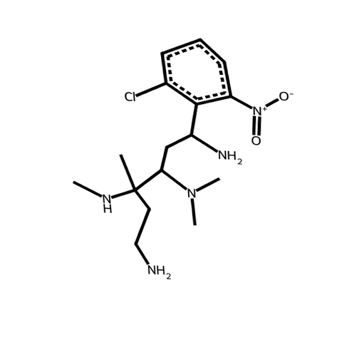 CNC(C)(CCN)C(CC(N)c1c(Cl)cccc1[N+](=O)[O-])N(C)C